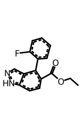 CCOC(=O)c1ccc2[nH]ncc2c1-c1ccccc1F